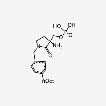 CCCCCCCCc1ccc(CN2CCC(N)(COP(=O)(O)O)C2=O)cc1